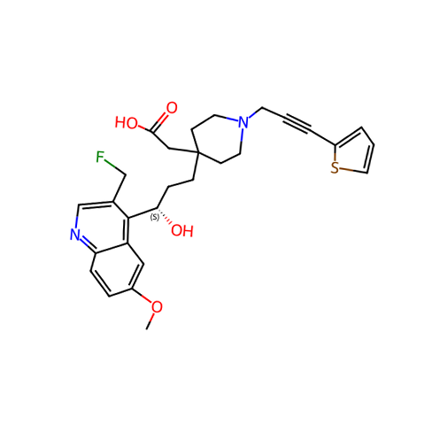 COc1ccc2ncc(CF)c([C@@H](O)CCC3(CC(=O)O)CCN(CC#Cc4cccs4)CC3)c2c1